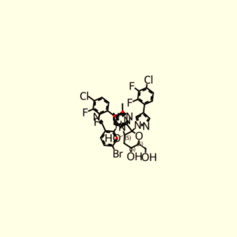 Cc1nc(C2(n3cc(-c4ccc(Cl)c(F)c4F)cn3)O[C@@H](CO)[C@@H](O)C[C@@]2(O)n2cc(-c3ccc(Cl)c(F)c3F)cn2)n(-c2cc(Br)ccc2C#N)n1